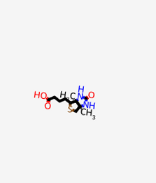 C[C@]12CSC(CCCC(=O)O)[C@@]1(C)NC(=O)N2